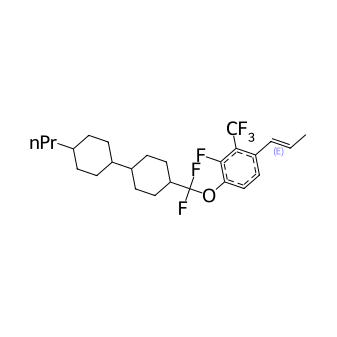 C/C=C/c1ccc(OC(F)(F)C2CCC(C3CCC(CCC)CC3)CC2)c(F)c1C(F)(F)F